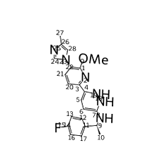 COc1nc(C2=CC=C(N[C@@H](C)c3ccc(F)cc3)NN2)ccc1-n1cnc(C)c1